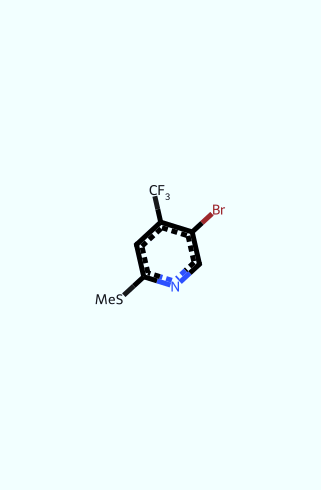 CSc1cc(C(F)(F)F)c(Br)cn1